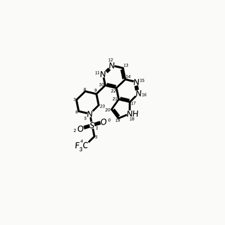 O=S(=O)(CC(F)(F)F)N1CCCC(c2nncc3nnc4[nH]ccc4c23)C1